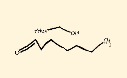 CCCCCCC=O.CCCCCCCO